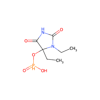 CCN1C(=O)NC(=O)C1(CC)O[PH](=O)O